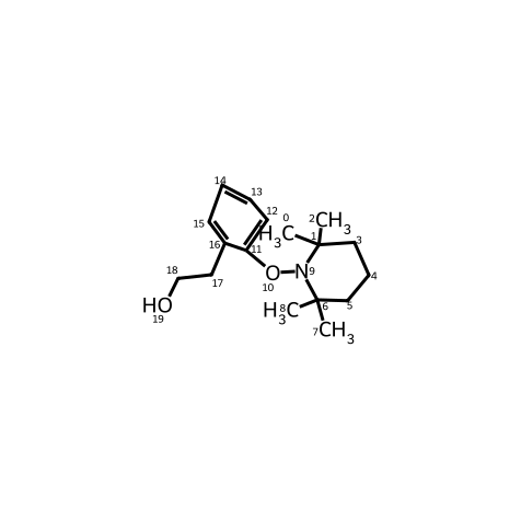 CC1(C)CCCC(C)(C)N1Oc1ccccc1CCO